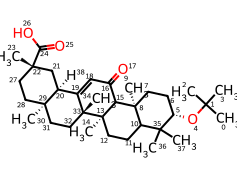 CC(C)(C)O[C@H]1CC[C@@]2(C)C(CC[C@]3(C)C2C(=O)C=C2[C@@H]4C[C@@](C)(C(=O)O)CC[C@]4(C)CC[C@]23C)C1(C)C